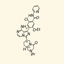 CCOc1cc(C(=O)Nc2ccccn2)c(Cl)cc1-c1nc([C@@H]2CC[C@H]3CN(C(C)C)CC(=O)N3C2)n2ccnc(N)c12